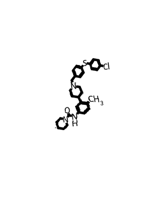 Cc1ccc(NC(=O)N2CC[CH]CC2)cc1C1CCN(Cc2ccc(Sc3ccc(Cl)cc3)cc2)CC1